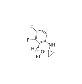 CCOC1(Nc2ccc(F)c(F)c2C)CC1